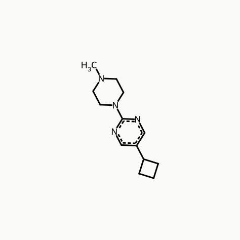 CN1CCN(c2ncc(C3CCC3)cn2)CC1